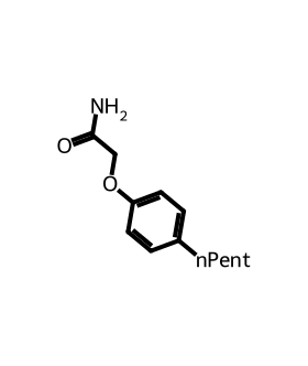 CCCCCc1ccc(OCC(N)=O)cc1